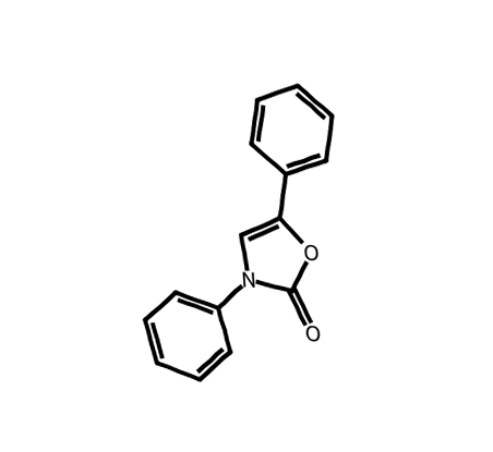 O=c1oc(-c2ccccc2)cn1-c1ccccc1